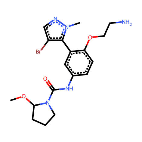 COC1CCCN1C(=O)Nc1ccc(OCCN)c(-c2c(Br)cnn2C)c1